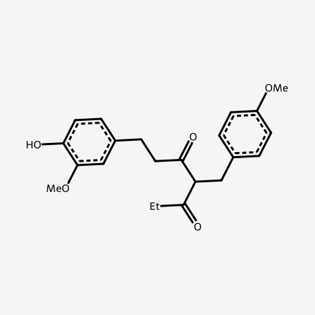 CCC(=O)C(Cc1ccc(OC)cc1)C(=O)CCc1ccc(O)c(OC)c1